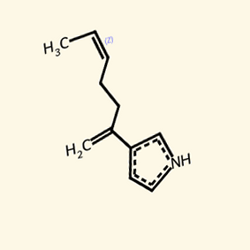 C=C(CC/C=C\C)c1cc[nH]c1